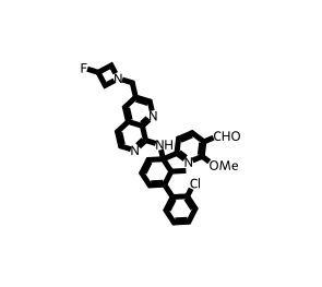 COc1nc(C2(Nc3nccc4cc(CN5CC(F)C5)cnc34)C=CC=C(c3ccccc3Cl)C2C)ccc1C=O